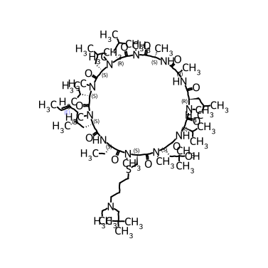 C/C=C/C[C@@H](C)C[C@H]1C(=O)N[C@@H](CC)C(=O)N(C)[C@H](CSCCCCN(CC)CC(C)(C)C)C(=O)N(C)[C@@H](CC(C)(C)O)C(=O)N[C@H](C(C)C)C(=O)N(C)[C@H](CC(C)C)C(=O)N[C@H](C)C(=O)N[C@@H](C)C(=O)N(C)C(=O)[C@@H](CC(C)C)N(C)[C@@H](CC(C)C)C(=O)N(C)[C@@H](C(C)C)C(=O)N1C